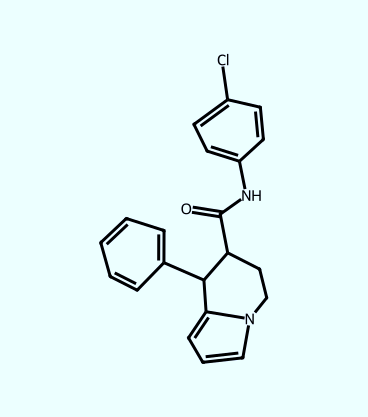 O=C(Nc1ccc(Cl)cc1)C1CCn2cccc2C1c1ccccc1